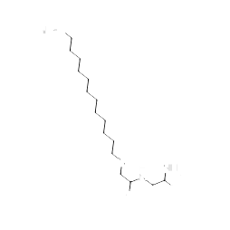 CCCCCCCCCCCCCCCCCCCCCCNCC(C)NCC(C)N